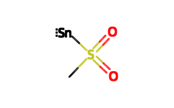 C[S](=O)(=O)[Sn]